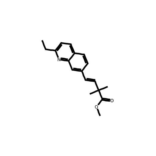 CCc1ccc2ccc(/C=C/C(C)(C)C(=O)OC)cc2n1